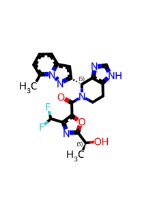 Cc1cccc2cc([C@@H]3c4nc[nH]c4CCN3C(=O)c3oc([C@H](C)O)nc3C(F)F)nn12